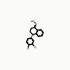 O/N=C1\CC[C@H](c2ccc(Cl)c(Cl)c2)c2ccccc21